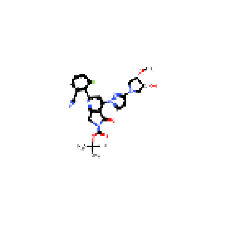 CO[C@H]1CN(c2ccn(-c3cc(-c4c(F)cccc4C#N)nc4c3C(=O)N(C(=O)OC(C)(C)C)C4)n2)C[C@H]1O